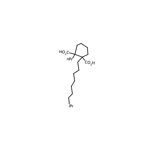 CCCC1(C(=O)O)CCCCC1(CCCCCCCC(C)C)C(=O)O